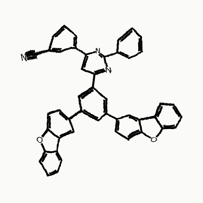 N#Cc1cccc(-c2cc(-c3cc(-c4ccc5oc6ccccc6c5c4)cc(-c4ccc5oc6ccccc6c5c4)c3)nc(-c3ccccc3)n2)c1